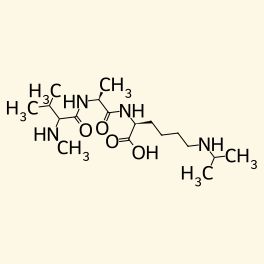 CNC(C(=O)N[C@@H](C)C(=O)N[C@@H](CCCCNC(C)C)C(=O)O)C(C)C